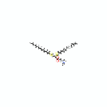 CCCCCCCCCCCCCCSSCC(COC(=O)CCCN(C)C)SSCCCCCCCCCCCCCC